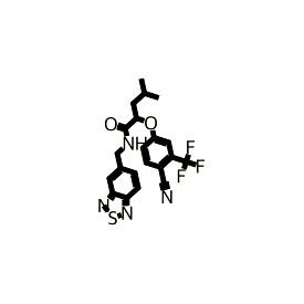 CC(C)CC(Oc1ccc(C#N)c(C(F)(F)F)c1)C(=O)NCc1ccc2nsnc2c1